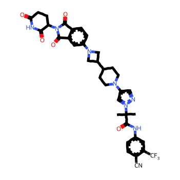 CC(C)(C(=O)Nc1ccc(C#N)c(C(F)(F)F)c1)n1cc(N2CCC(C3CN(c4ccc5c(c4)C(=O)N(C4CCC(=O)NC4=O)C5=O)C3)CC2)cn1